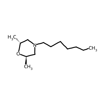 CCCCCCCN1C[C@@H](C)O[C@H](C)C1